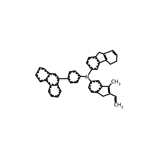 C=CC1=C(C)c2cc(N(c3ccc(-c4cc5ccccc5c5ccccc45)cc3)c3ccc4c(c3)C3=C(C=CCC3)C4)ccc2C1